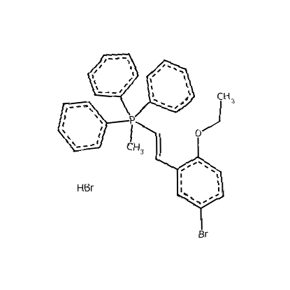 Br.CCOc1ccc(Br)cc1C=CP(C)(c1ccccc1)(c1ccccc1)c1ccccc1